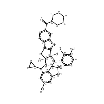 O=C(c1ccn2c3c(nc2c1)[C@@H]1[C@H](C3)N(CC2CC2)[C@@]2(C(=O)Nc3cc(Cl)ccc32)[C@H]1c1cccc(Cl)c1F)N1CCCCC1